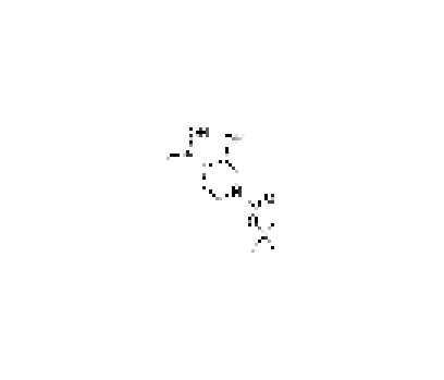 CC(C)(C)OC(=O)N1CC[C@H](C(=O)O)[C@@H](O)C1